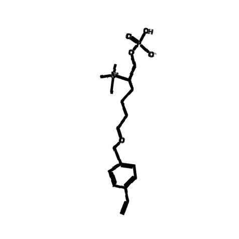 C=Cc1ccc(COCCCCC(COP(=O)([O-])O)[N+](C)(C)C)cc1